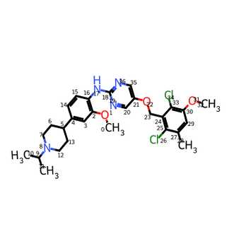 COc1cc(C2CCN(C(C)C)CC2)ccc1Nc1ncc(OCc2c(Cl)c(C)cc(OC)c2Cl)cn1